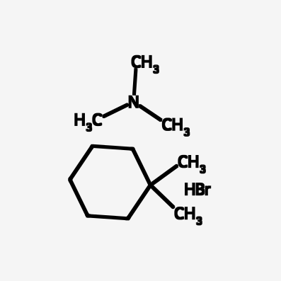 Br.CC1(C)CCCCC1.CN(C)C